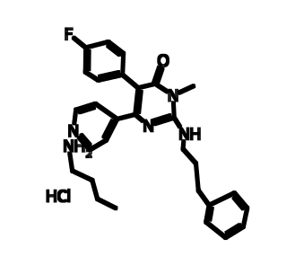 CCCCN.Cl.Cn1c(NCCCc2ccccc2)nc(-c2ccncc2)c(-c2ccc(F)cc2)c1=O